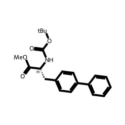 COC(=O)[C@@H](Cc1ccc(-c2ccccc2)cc1)NC(=O)OC(C)(C)C